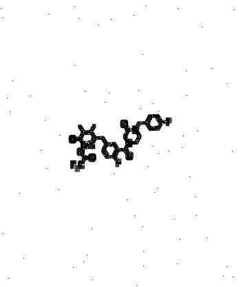 Cc1c(Cc2ccc(F)c(C(=O)N3CCN(Cc4ccc(F)cc4)C(=O)C3)c2)nn(OC(=O)C(F)(F)F)c(=O)c1C